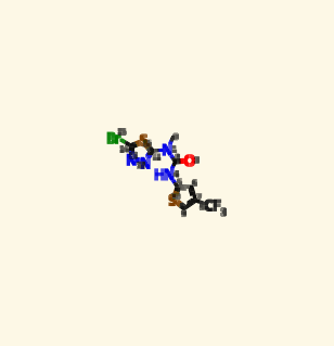 CN(C(=O)Nc1cc(C(F)(F)F)cs1)c1nnc(Br)s1